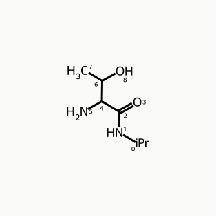 CC(C)NC(=O)C(N)C(C)O